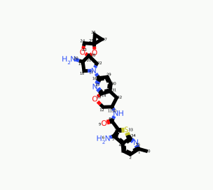 Cc1ccc2c(N)c(C(=O)NC3COc4nc(N5CC(N)C6(C5)OCC5(CC5)O6)ccc4C3)sc2n1